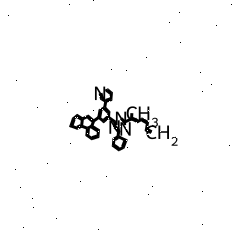 C=C/C=C\C=C(/C)c1nc(-c2ccccc2)nc(-c2cc(-c3cccnc3)cc(-c3cc4ccccc4c4ccccc34)c2)n1